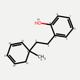 CC1(CCc2ccccc2O)C=CC=CC1